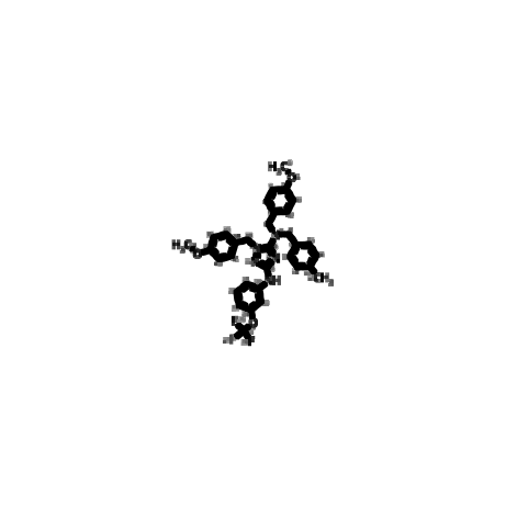 COc1ccc(CN(Cc2ccc(C)cc2)c2nc(Nc3cccc(OC(F)(F)F)c3)nn2Cc2ccc(OC)cc2)cc1